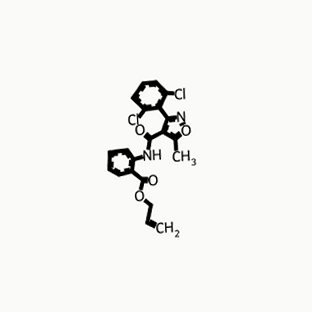 C=CCOC(=O)c1ccccc1NC(=O)c1c(-c2c(Cl)cccc2Cl)noc1C